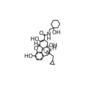 O=C(NCC1(O)CCCCC1)C1=C(O)[C@@H]2Oc3c(O)ccc4c3[C@@]23CCN(CC2CC2)[C@H](C4)[C@]3(O)C1